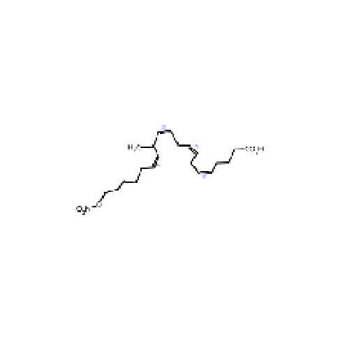 CC(/C=C\C/C=C\C/C=C\CCCC(=O)O)/C=C\CCCCCO[N+](=O)[O-]